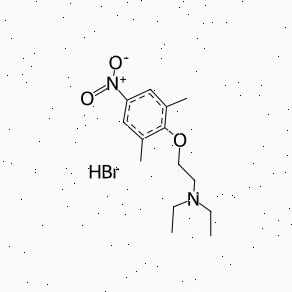 Br.CCN(CC)CCOc1c(C)cc([N+](=O)[O-])cc1C